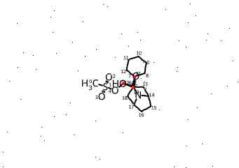 CS(=O)(=O)OCC1(C2CCCCC2)CC2CCC(C1)N2C(=O)O